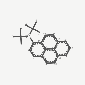 CC(C)(C)P(c1ccc2ccc3cccc4ccc1c2c34)C(C)(C)C